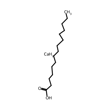 CCCCCCCCCCCCCCC(=O)O.[CaH2]